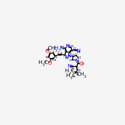 COc1cc(C#Cc2nn(C3CCN(C(=O)/C(C#N)=C/C(C)(C)C)C3)c3c(C#N)cnc(N)c23)cc(OC)c1